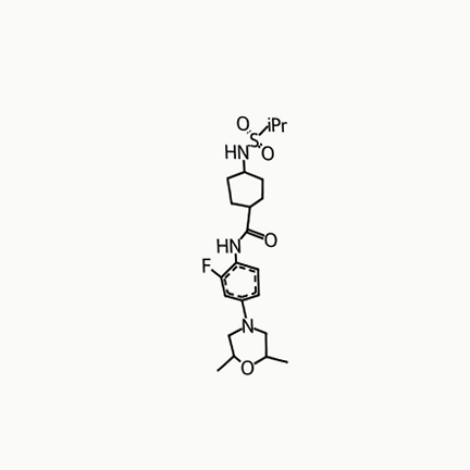 CC1CN(c2ccc(NC(=O)C3CCC(NS(=O)(=O)C(C)C)CC3)c(F)c2)CC(C)O1